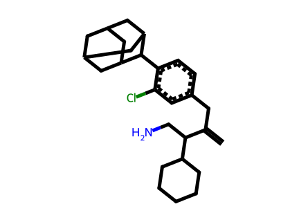 C=C(Cc1ccc(C2C3CC4CC(C3)CC2C4)c(Cl)c1)C(CN)C1CCCCC1